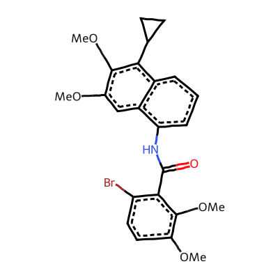 COc1ccc(Br)c(C(=O)Nc2cccc3c(C4CC4)c(OC)c(OC)cc23)c1OC